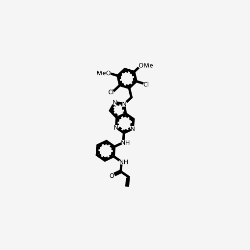 C=CC(=O)Nc1ccccc1Nc1ncc2c(cnn2Cc2c(Cl)c(OC)cc(OC)c2Cl)n1